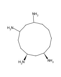 NC1CCCC[C@@H](N)C[C@@H](N)CCC(N)C1